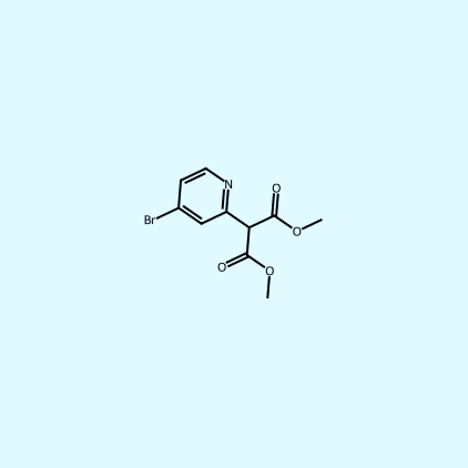 COC(=O)C(C(=O)OC)c1cc(Br)ccn1